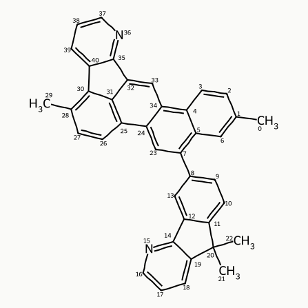 Cc1ccc2c(c1)c(-c1ccc3c(c1)-c1ncccc1C3(C)C)cc1c3ccc(C)c4c3c(cc21)-c1ncccc1-4